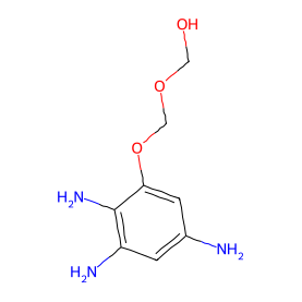 Nc1cc(N)c(N)c(OCOCO)c1